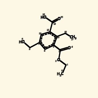 CCOC(=O)c1cc(CO)cc(C(=O)O)c1CC